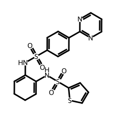 O=S(=O)(NC1=CCCC=C1NS(=O)(=O)c1cccs1)c1ccc(-c2ncccn2)cc1